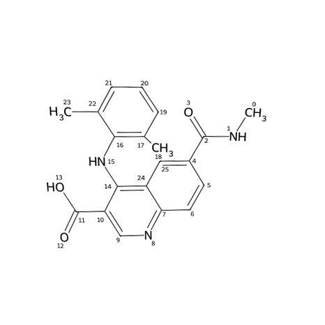 CNC(=O)c1ccc2ncc(C(=O)O)c(Nc3c(C)cccc3C)c2c1